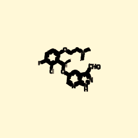 C[C@@H](Oc1cnc2[nH]nc(C=O)c2c1)c1c(OCCN(C)C)ccc(F)c1Cl